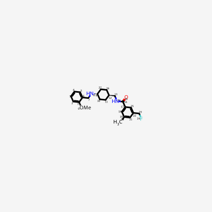 COc1ccccc1CN[C@H]1CC[C@H](CNC(=O)c2cc(C)cc(CF)c2)CC1